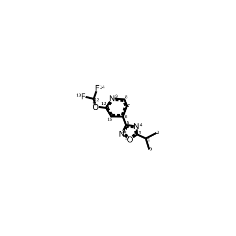 CC(C)c1nc(-c2ccnc(OC(F)F)c2)no1